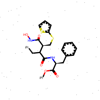 CC(C)CC(C(=O)N[C@@H](Cc1ccccc1)C(=O)OC(C)C)[C@H](CSc1cccs1)C(=O)NO